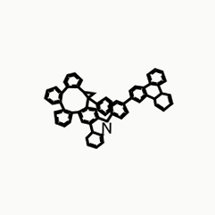 C1=CCC2C(=C1)N=C(c1ccc(-c3ccc4c(c3)C3C=CC=CC3c3ccccc3-4)cc1)c1cc3c(cc12)-c1ccccc1-c1ccccc1-c1ccccc1C1CC31c1ccccc1